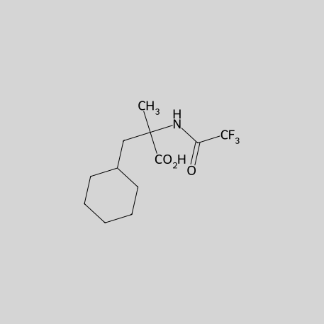 CC(CC1CCCCC1)(NC(=O)C(F)(F)F)C(=O)O